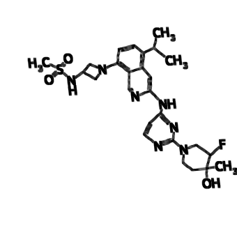 CC(C)c1ccc(N2CC(NS(C)(=O)=O)C2)c2cnc(Nc3ccnc(N4CCC(C)(O)C(F)C4)n3)cc12